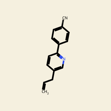 C=CCc1ccc(-c2ccc(C#N)cc2)nc1